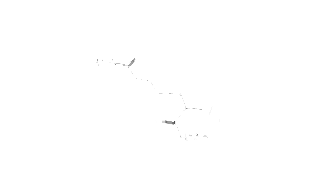 CNC(=O)CCOCC(C)C(=O)NC